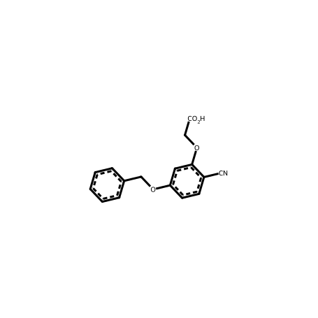 N#Cc1ccc(OCc2ccccc2)cc1OCC(=O)O